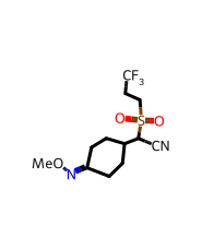 CON=C1CCC(C(C#N)S(=O)(=O)CCC(F)(F)F)CC1